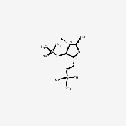 CC(C)(C)[Si](C)(C)OC[C@H]1OC(O)[C@@H](F)C1O[Si](C)(C)C(C)(C)C